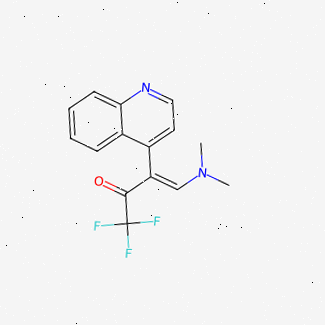 CN(C)C=C(C(=O)C(F)(F)F)c1ccnc2ccccc12